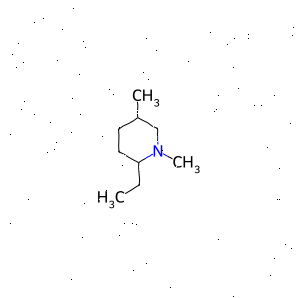 CCC1CCC(C)CN1C